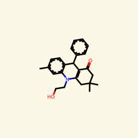 Cc1ccc2c(c1)N(CCO)C1=C(C(=O)CC(C)(C)C1)C2c1ccccc1